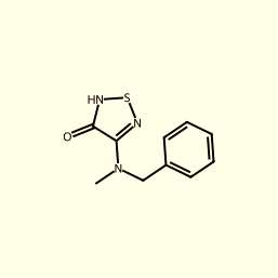 CN(Cc1ccccc1)c1ns[nH]c1=O